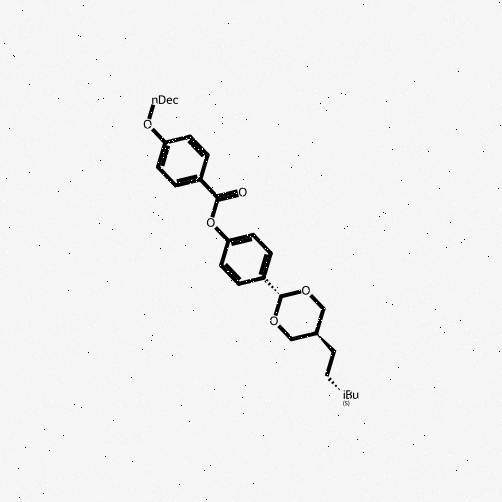 CCCCCCCCCCOc1ccc(C(=O)Oc2ccc([C@H]3OC[C@H](CC[C@@H](C)CC)CO3)cc2)cc1